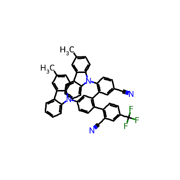 Cc1ccc2c(c1)c1ccccc1n2-c1ccc(-c2ccc(C(F)(F)F)cc2C#N)c(-c2cc(C#N)ccc2-n2c3ccccc3c3cc(C)ccc32)c1